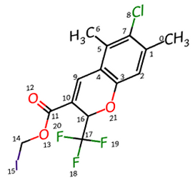 Cc1cc2c(c(C)c1Cl)C=C(C(=O)OCI)C(C(F)(F)F)O2